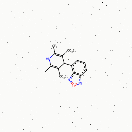 CCOC(=O)C1=C(C)NC(C(F)(F)F)=C(C(=O)OCC)C1c1cccc2nonc12